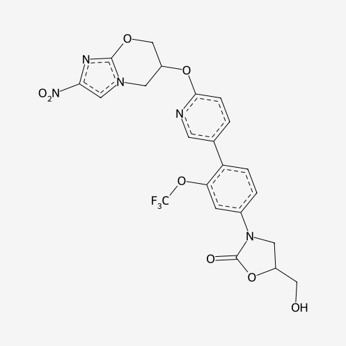 O=C1OC(CO)CN1c1ccc(-c2ccc(OC3COc4nc([N+](=O)[O-])cn4C3)nc2)c(OC(F)(F)F)c1